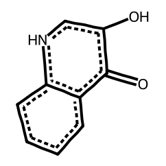 O=c1c(O)c[nH]c2ccccc12